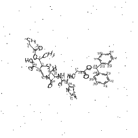 CCC(=O)OC(C)C1S[C@@H]2C(NC(=O)C(=NOCC(=O)OC(c3ccccc3)c3ccccc3)c3cscn3)C(=O)N2C=C1C(=O)O